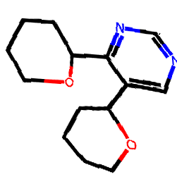 [c]1ncc(C2CCCCO2)c(C2CCCCO2)n1